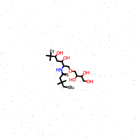 CCC(C)(C)C(O)CC(O)C(COCC(O)C(O)CO)NC(=S)CC(C)(C)CC(C)(C)C